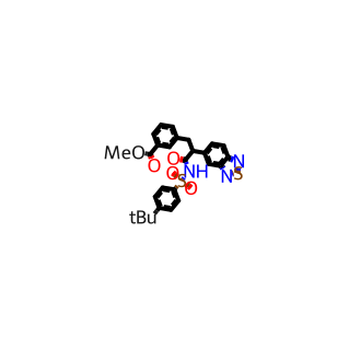 COC(=O)c1cccc(CC(C(=O)NS(=O)(=O)c2ccc(C(C)(C)C)cc2)c2ccc3nsnc3c2)c1